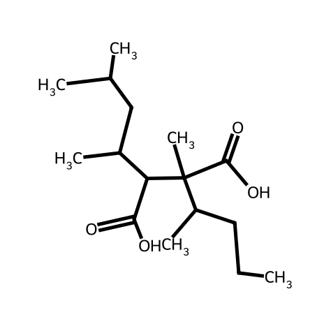 CCCC(C)C(C)(C(=O)O)C(C(=O)O)C(C)CC(C)C